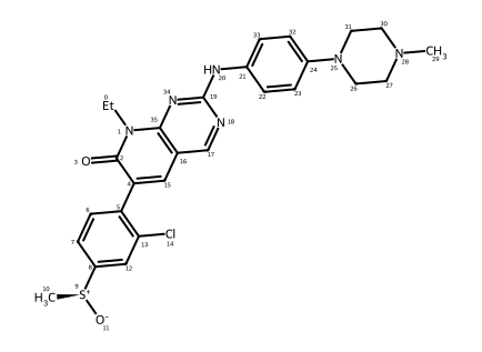 CCn1c(=O)c(-c2ccc([S@+](C)[O-])cc2Cl)cc2cnc(Nc3ccc(N4CCN(C)CC4)cc3)nc21